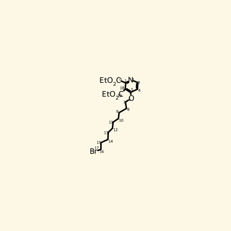 CCOC(=O)c1nccc(OCCCCCCCCCCBr)c1C(=O)OCC